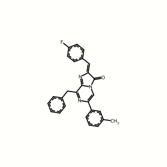 Cc1cccc(C2=CN3C(=O)/C(=C/c4ccc(F)cc4)N=C3C(Cc3ccccc3)=N2)c1